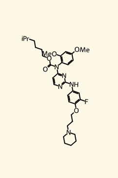 COc1ccc(N(C(=O)OCCCCC(C)C)c2ccnc(Nc3ccc(OCCCN4CCCCC4)c(F)c3)n2)c(OC)c1